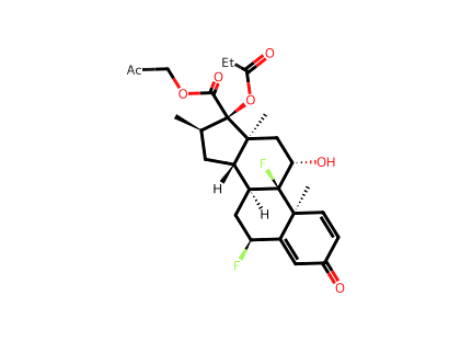 CCC(=O)O[C@]1(C(=O)OCC(C)=O)[C@H](C)C[C@H]2[C@@H]3C[C@H](F)C4=CC(=O)C=C[C@]4(C)[C@@]3(F)[C@@H](O)C[C@@]21C